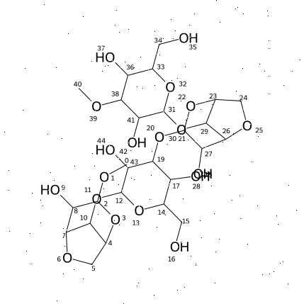 COC1OC2COC(C1O)C2OC1OC(CO)C(O)C(OC2OC3COC(C2O)C3OC2OC(CO)C(O)C(OC)C2O)C1O